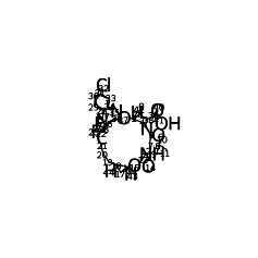 C[C@@H]1[C@@H]2CN(C(=O)[C@H](C(C)(C)C)NC(=O)O[C@@H]3C[C@H]3CCCCC(F)(F)c3nc4ccc(Cl)cc4nc3O2)[C@@H]1C(=O)O